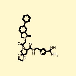 C=C1c2cc(-c3ccccc3)ccc2CN1CC(=O)N1CC2(CC1C(=O)NCc1cc(C(=N)N)cs1)OCCO2